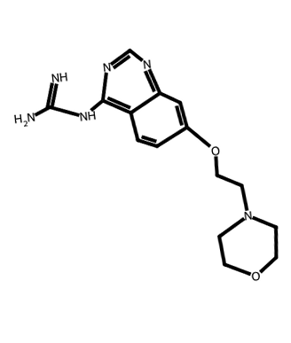 N=C(N)Nc1ncnc2cc(OCCN3CCOCC3)ccc12